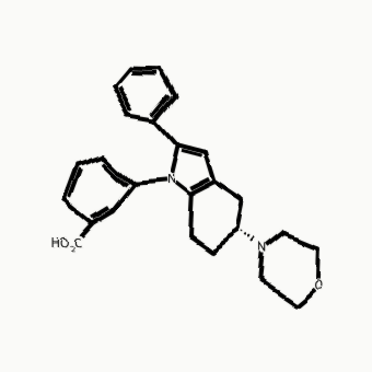 O=C(O)c1cccc(-n2c(-c3ccccc3)cc3c2CC[C@@H](N2CCOCC2)C3)c1